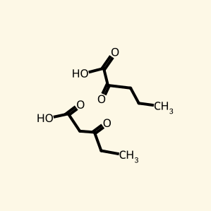 CCC(=O)CC(=O)O.CCCC(=O)C(=O)O